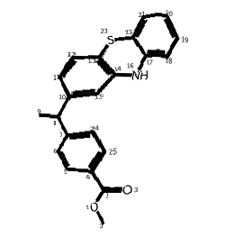 COC(=O)c1ccc(C(C)c2ccc3c(c2)Nc2ccccc2S3)cc1